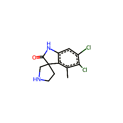 Cc1c(Cl)c(Cl)cc2c1C1(CCNC1)C(=O)N2